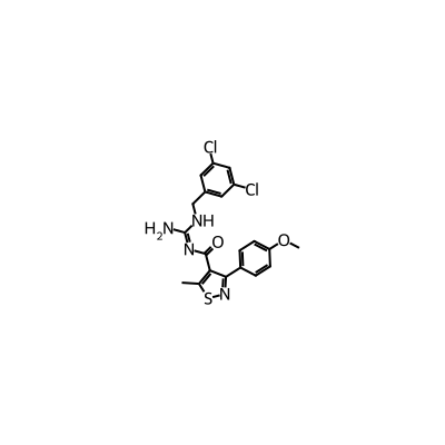 COc1ccc(-c2nsc(C)c2C(=O)/N=C(/N)NCc2cc(Cl)cc(Cl)c2)cc1